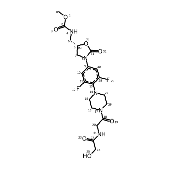 COC(=O)NC[C@H]1CN(c2cc(F)c(N3CCN(C(=O)CNC(=O)CO)CC3)c(F)c2)C(=O)O1